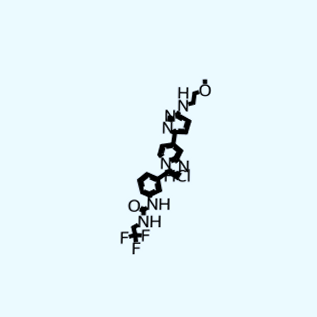 COCCNc1ccc(-c2ccn3c(-c4cccc(NC(=O)NCC(F)(F)F)c4)cnc3c2)nn1.Cl